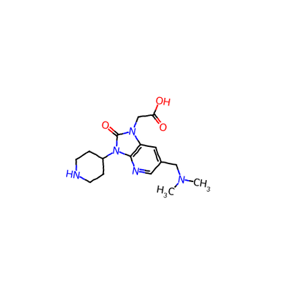 CN(C)Cc1cnc2c(c1)n(CC(=O)O)c(=O)n2C1CCNCC1